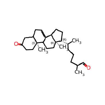 CC(C=O)CCCC(C)[C@H]1CCC2C3=CCC4CC(=O)CC[C@]4(C)C3CC[C@@]21C